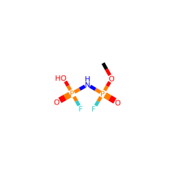 COP(=O)(F)NP(=O)(O)F